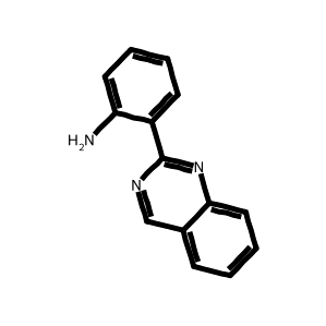 Nc1ccccc1-c1ncc2ccccc2n1